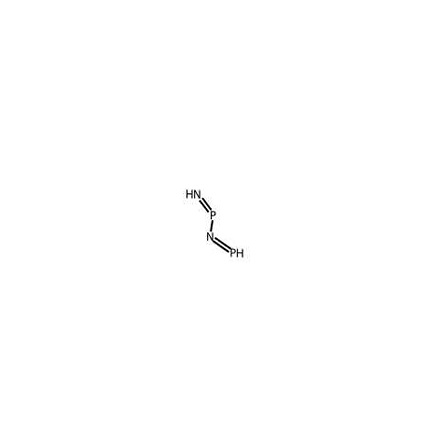 N=PN=P